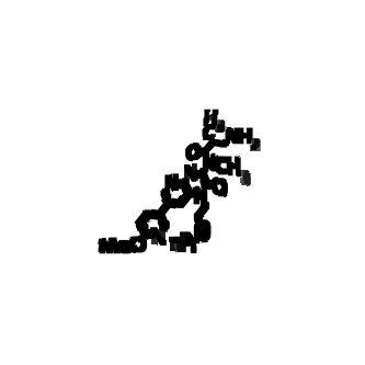 CCCOCCn1c(=O)c(N(C)C(=O)[C@H](C)CN)nc2ncc(-c3ccc(OC)nc3)cc21